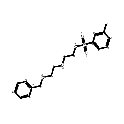 Cc1cccc(S(=O)(=O)OCCOCCOCc2ccccc2)c1